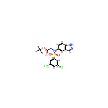 CC(C)(C)OC(=O)CN(c1ccc2[nH]ncc2c1)S(=O)(=O)c1cc(Cl)cc(Cl)c1